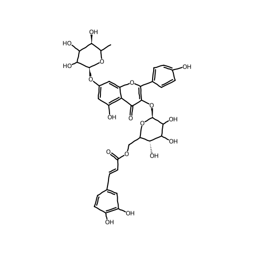 CC1O[C@@H](Oc2cc(O)c3c(=O)c(O[C@@H]4OC(COC(=O)/C=C/c5ccc(O)c(O)c5)[C@@H](O)C(O)C4O)c(-c4ccc(O)cc4)oc3c2)C(O)C(O)[C@H]1O